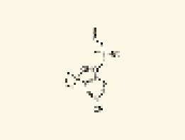 C=CCC(C)(CC)COc1ccc(C#N)cc1C1(O)CCC1